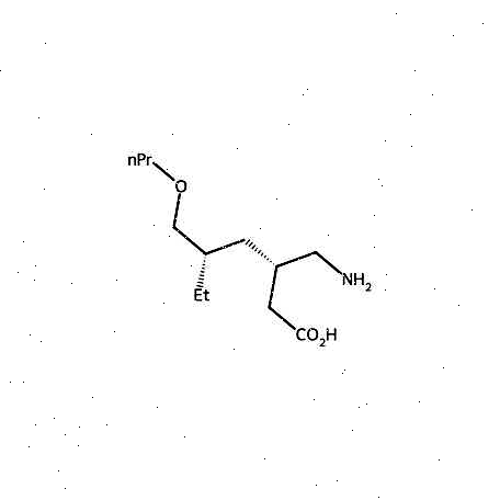 CCCOC[C@@H](CC)C[C@H](CN)CC(=O)O